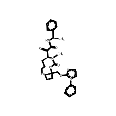 CCCC[C@@H](C(=O)C(=O)N[C@H](C)c1ccccc1)N(C)C(=O)OC1(CSc2nccn2-c2ccccc2)CCC1